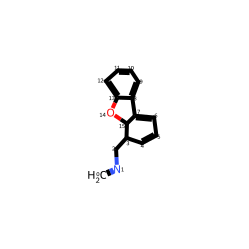 C=NCC1C=CC=C2c3ccccc3OC21